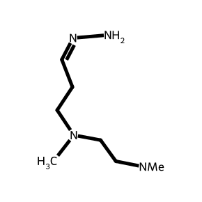 CNCCN(C)CC/C=N\N